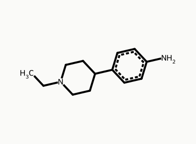 CCN1CCC(c2ccc(N)cc2)CC1